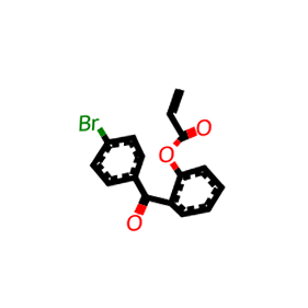 C=CC(=O)Oc1ccccc1C(=O)c1ccc(Br)cc1